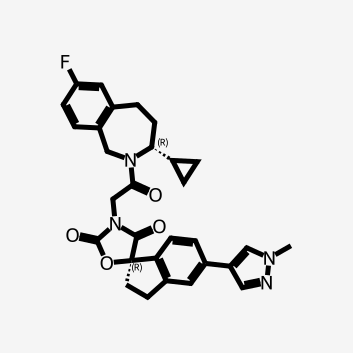 Cn1cc(-c2ccc3c(c2)CC[C@@]32OC(=O)N(CC(=O)N3Cc4ccc(F)cc4CC[C@@H]3C3CC3)C2=O)cn1